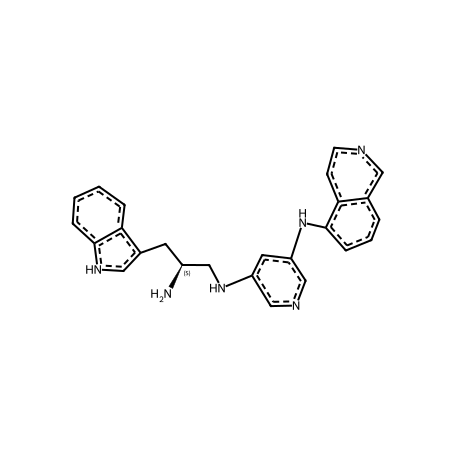 N[C@H](CNc1cncc(Nc2cccc3cnccc23)c1)Cc1c[nH]c2ccccc12